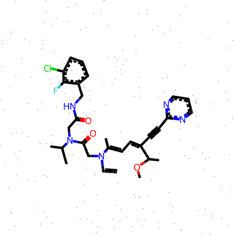 C=CN(CC(=O)N(CC(=O)NCc1cccc(Cl)c1F)C(C)C)/C(C)=C/C=C(/C#Cc1ncccn1)C(C)OC